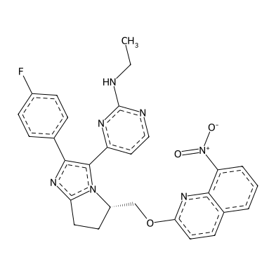 CCNc1nccc(-c2c(-c3ccc(F)cc3)nc3n2[C@H](COc2ccc4cccc([N+](=O)[O-])c4n2)CC3)n1